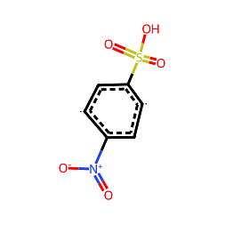 O=[N+]([O-])c1[c]cc(S(=O)(=O)O)[c]c1